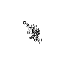 C=CCNC(=O)C(=O)C(CCCC)NC(=O)[C@@H]1[C@@H]2[C@H](CN1C(=O)[C@@H](NC(=O)N[C@H](C(=O)N1CCN(c3ccccc3)CC1)C(C)(C)C)C(C)(C)C)C2(C)C